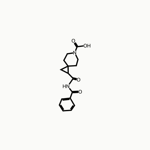 O=C(NC(=O)C1CC12CCN(C(=O)O)CC2)c1ccccc1